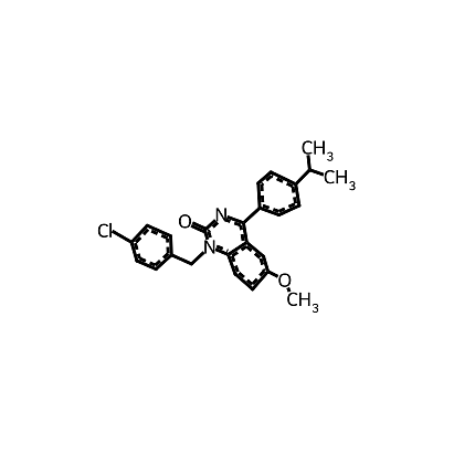 COc1ccc2c(c1)c(-c1ccc(C(C)C)cc1)nc(=O)n2Cc1ccc(Cl)cc1